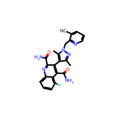 Cc1nn(Cc2ncccc2C#N)c(C)c1-c1c(C(N)=O)nc2cccc(F)c2c1C(N)=O